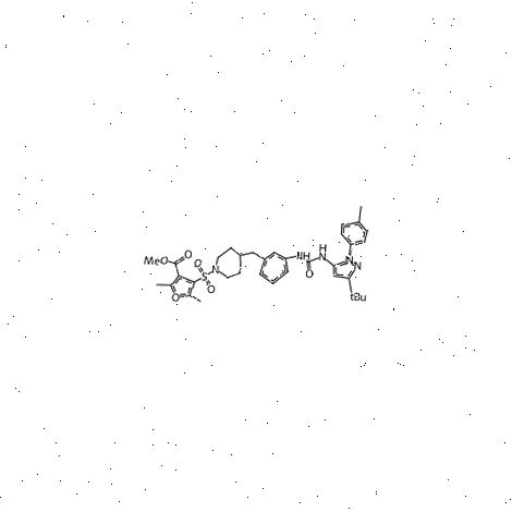 COC(=O)c1c(C)oc(C)c1S(=O)(=O)N1CCC(Cc2cccc(NC(=O)Nc3cc(C(C)(C)C)nn3-c3ccc(C)cc3)c2)CC1